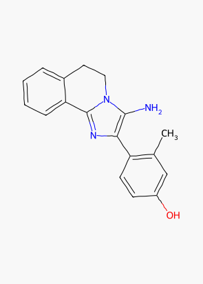 Cc1cc(O)ccc1-c1nc2n(c1N)CCc1ccccc1-2